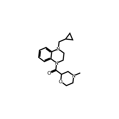 CN1CCOC(C(=O)N2CCN(CC3CC3)c3ccccc32)C1